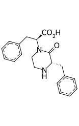 O=C(O)[C@H](Cc1ccccc1)N1CCN[C@@H](Cc2ccccc2)C1=O